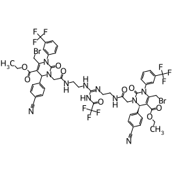 CCOC(=O)C1=C(CBr)N(c2cccc(C(F)(F)F)c2)C(=O)N(CC(=O)NCCN/C(=N/CCNC(=O)CN2C(=O)N(c3cccc(C(F)(F)F)c3)C(CBr)=C(C(=O)OCC)[C@H]2c2ccc(C#N)cc2)NC(=O)C(F)(F)F)C1c1ccc(C#N)cc1